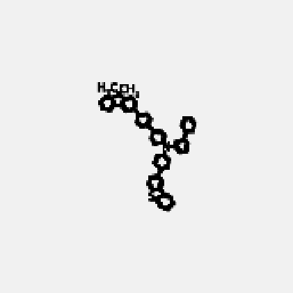 CC1(C)c2ccccc2-c2cc(-c3ccc(-c4ccc(N(c5ccc(-c6ccc7sc8ccccc8c7c6)cc5)c5cccc(-c6ccccc6)c5)cc4)cc3)ccc21